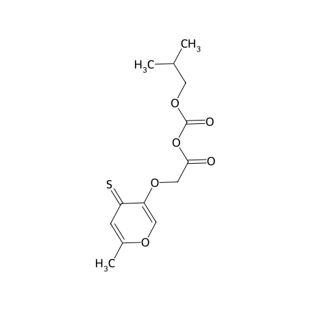 Cc1cc(=S)c(OCC(=O)OC(=O)OCC(C)C)co1